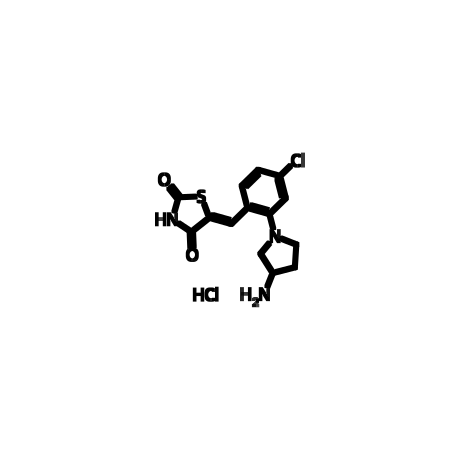 Cl.NC1CCN(c2cc(Cl)ccc2/C=C2\SC(=O)NC2=O)C1